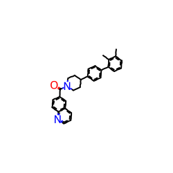 Cc1cccc(-c2ccc(C3CCN(C(=O)c4ccc5ncccc5c4)CC3)cc2)c1C